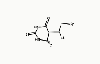 CCC(CC(C)C)C1C(=O)NC(=O)NC1=O